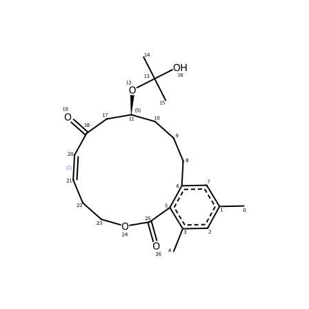 Cc1cc(C)c2c(c1)CCC[C@H](OC(C)(C)O)CC(=O)/C=C\CCOC2=O